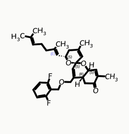 CC(C)=CCC/C(C)=C/[C@@H]1CC(C)=C[C@]2(C=C(COCc3c(F)cccc3F)[C@H]3CC(=O)C(C)=C[C@H]3O2)O1